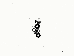 O=S(=O)(OC1CCCC1)c1ccc(C(F)(F)F)cc1